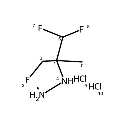 CC(CF)(NN)C(F)F.Cl.Cl